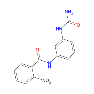 NC(=O)Nc1cccc(NC(=O)c2ccccc2[N+](=O)[O-])c1